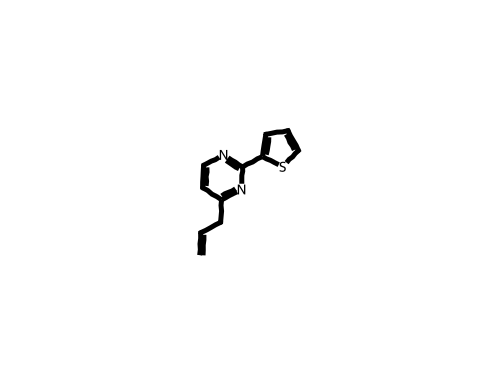 C=CCc1ccnc(-c2cccs2)n1